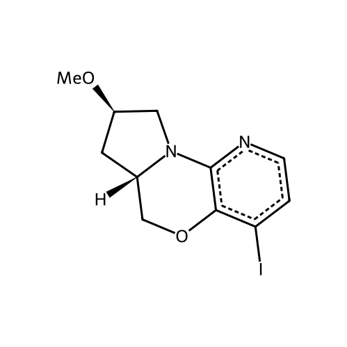 CO[C@@H]1C[C@H]2COc3c(I)ccnc3N2C1